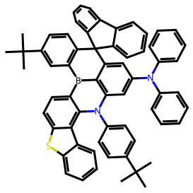 CC(C)(C)c1ccc(N2c3cc(N(c4ccccc4)c4ccccc4)cc4c3B(c3cc(C(C)(C)C)ccc3C43c4ccccc4-c4ccccc43)c3ccc4sc5ccccc5c4c32)cc1